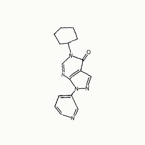 O=c1c2cnn(-c3cccnc3)c2ncn1C1CCCCC1